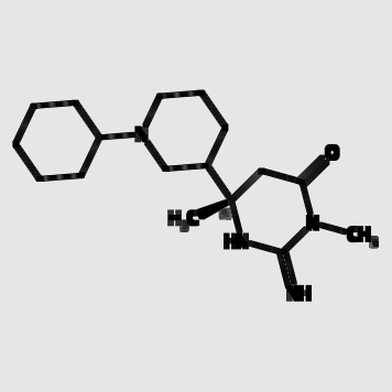 CN1C(=N)N[C@](C)(C2CCCN(C3CCCCC3)C2)CC1=O